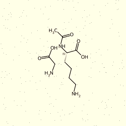 CC(=O)N[C@@H](CCCCN)C(=O)O.NCC(=O)O